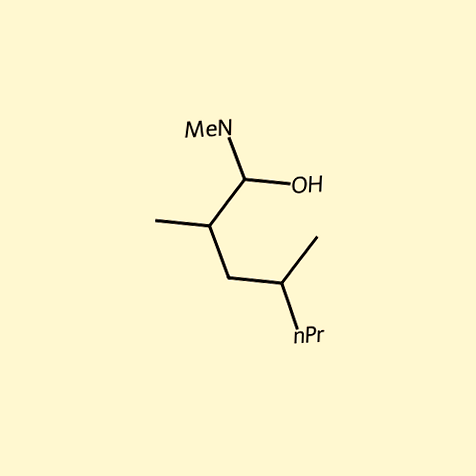 CCCC(C)CC(C)C(O)NC